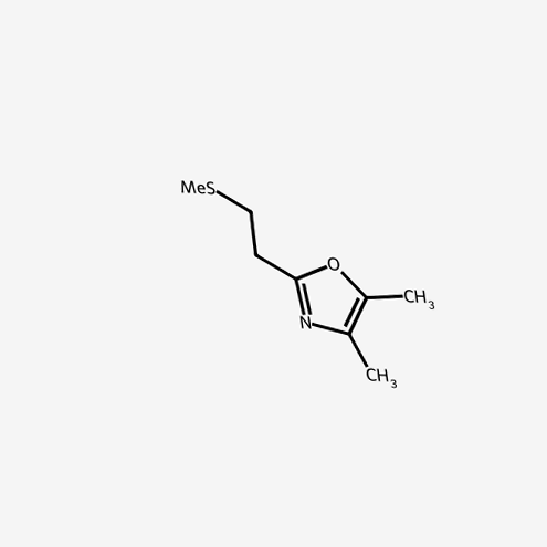 CSCCc1nc(C)c(C)o1